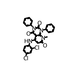 Cn1c(=O)cc(Nc2ccc(Cl)cc2Cl)c2c(=O)n(-c3ccccc3)c(=O)n(-c3ccccc3)c21